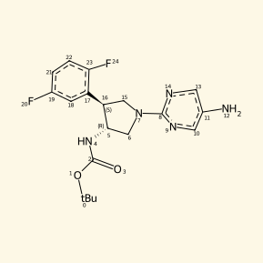 CC(C)(C)OC(=O)N[C@H]1CN(c2ncc(N)cn2)C[C@@H]1c1cc(F)ccc1F